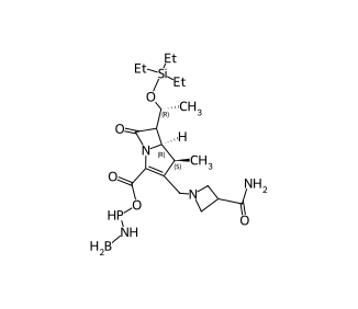 BNPOC(=O)C1=C(CN2CC(C(N)=O)C2)[C@H](C)[C@@H]2C([C@@H](C)O[Si](CC)(CC)CC)C(=O)N12